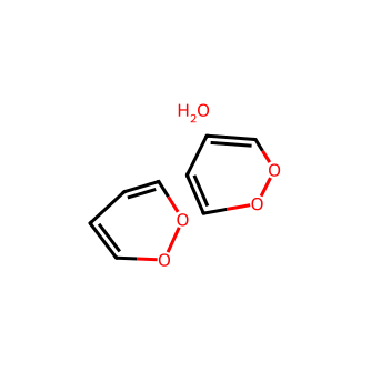 C1=COOC=C1.C1=COOC=C1.O